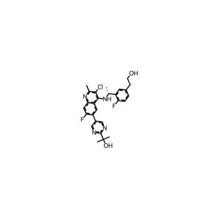 Cc1nc2cc(F)c(-c3cnc(C(C)(C)O)nc3)cc2c(N[C@H](C)c2cc(CCO)ccc2F)c1Cl